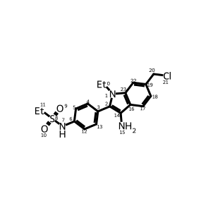 CCn1c(-c2ccc(NS(=O)(=O)CC)cc2)c(N)c2ccc(CCl)cc21